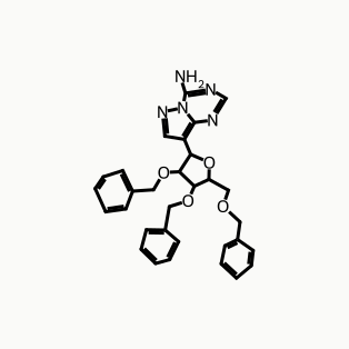 Nc1ncnc2c(C3OC(COCc4ccccc4)C(OCc4ccccc4)C3OCc3ccccc3)cnn12